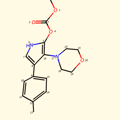 COC(=O)Oc1[nH]cc(-c2ccc(C)cc2)c1N1CCOCC1